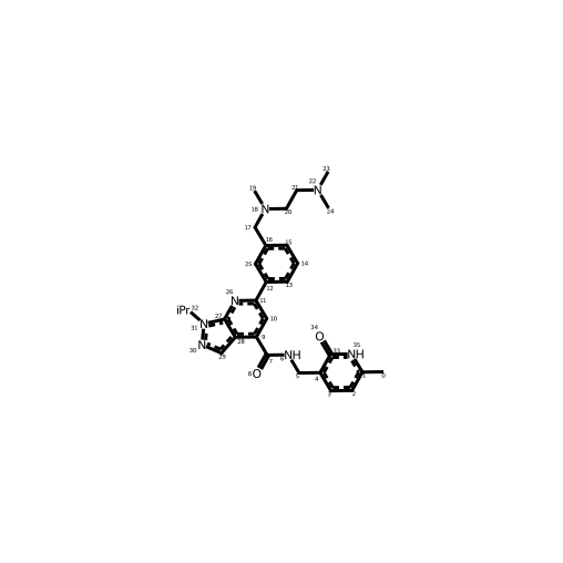 Cc1ccc(CNC(=O)c2cc(-c3cccc(CN(C)CCN(C)C)c3)nc3c2cnn3C(C)C)c(=O)[nH]1